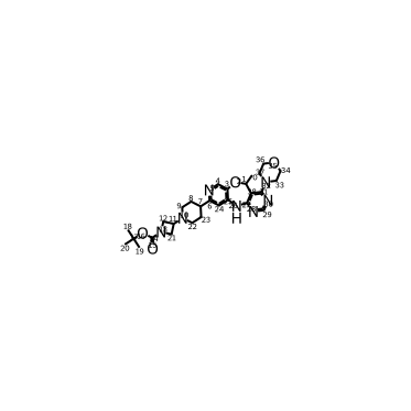 CC1Oc2cnc(C3CCN(C4CN(C(=O)OC(C)(C)C)C4)CC3)cc2Nc2ncnc(N3CCOCC3)c21